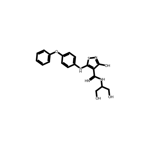 N=C(NC(CO)CO)c1c(O)nsc1Nc1ccc(Oc2ccccc2)cc1